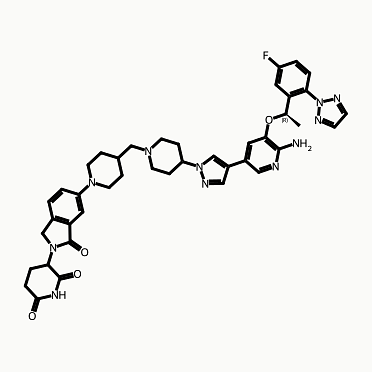 C[C@@H](Oc1cc(-c2cnn(C3CCN(CC4CCN(c5ccc6c(c5)C(=O)N(C5CCC(=O)NC5=O)C6)CC4)CC3)c2)cnc1N)c1cc(F)ccc1-n1nccn1